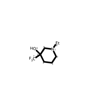 CCN1CCCC(O)(C(F)(F)F)C1